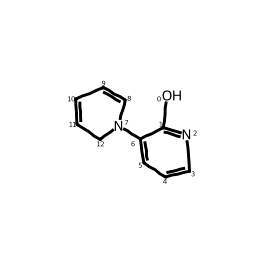 Oc1ncccc1N1C=CC=CC1